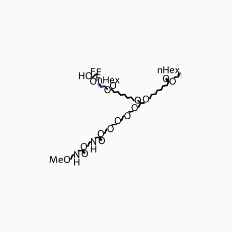 CCCCCC/C=C\COC(=O)CCCCCCCOCC(COCCOCCOCCOCCOC(=O)CNCCOC(=O)CNCCOC)OCCCCCCCC(=O)OC/C=C\CCCCCC.O=C(O)C(F)(F)F